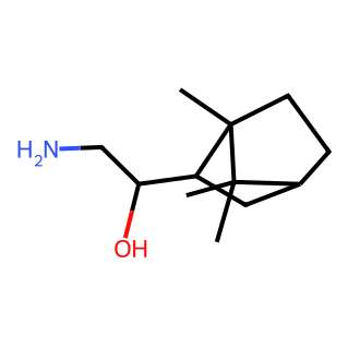 CC1(C)C2CCC1(C)C(C(O)CN)C2